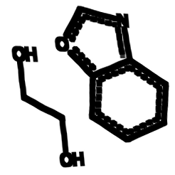 OCCO.c1ccc2ocnc2c1